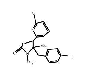 CC(C)(C)C1(Cc2ccc(C(F)(F)F)cc2)C(c2cccc(Cl)n2)OC(=O)N1C(=O)O